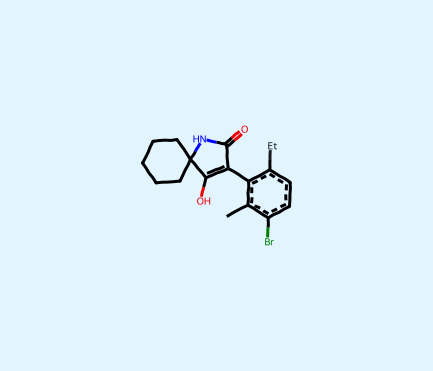 CCc1ccc(Br)c(C)c1C1=C(O)C2(CCCCC2)NC1=O